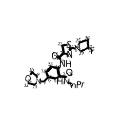 CCCNC(=O)c1cc(CN2CCOCC2)ccc1NC(=O)c1csc(N2CC[C@H](F)C2)n1